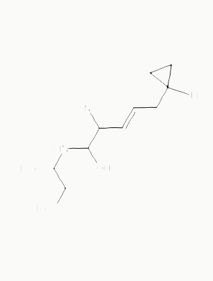 CC(C)C1(CC=CC(N)C(O)N[C@@H](C=O)CC(=O)O)CC1